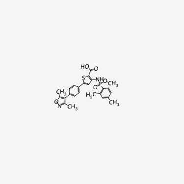 COP(=O)(Nc1cc(-c2ccc(-c3c(C)noc3C)cc2)sc1C(=O)O)c1ccc(C)cc1C